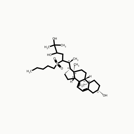 CCCCCS(=O)(=O)C(CC(O)C(C)(C)O)[C@@H](C)[C@H]1CC[C@H]2C3=CC=C4C[C@@H](O)CC[C@]4(C)[C@H]3CC[C@]12C